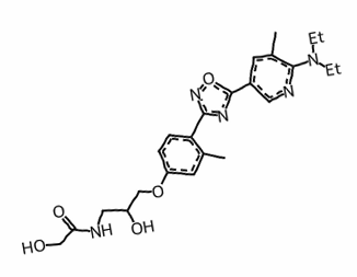 CCN(CC)c1ncc(-c2nc(-c3ccc(OCC(O)CNC(=O)CO)cc3C)no2)cc1C